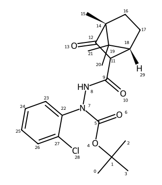 CC(C)(C)OC(=O)N(NC(=O)C1C(=O)[C@]2(C)CC[C@H]1C2(C)C)c1ccccc1Cl